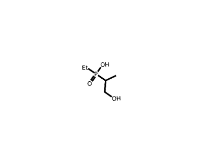 CCP(=O)(O)C(C)CO